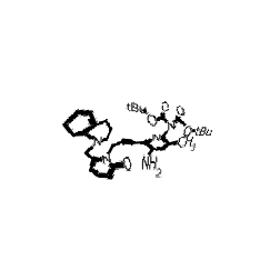 Cc1cc(N)c(C#CCn2c(CN3CCCc4ccccc43)cccc2=O)nc1N(C(=O)OC(C)(C)C)C(=O)OC(C)(C)C